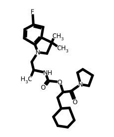 CC(CN1CC(C)(C)c2cc(F)ccc21)NC(=O)OC(CC1CCCCC1)C(=O)N1CCCC1